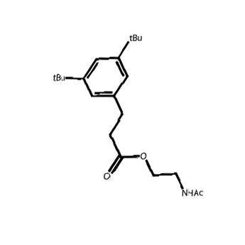 CC(=O)NCCOC(=O)CCc1cc(C(C)(C)C)cc(C(C)(C)C)c1